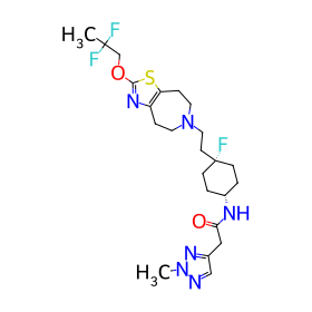 Cn1ncc(CC(=O)N[C@H]2CC[C@](F)(CCN3CCc4nc(OCC(C)(F)F)sc4CC3)CC2)n1